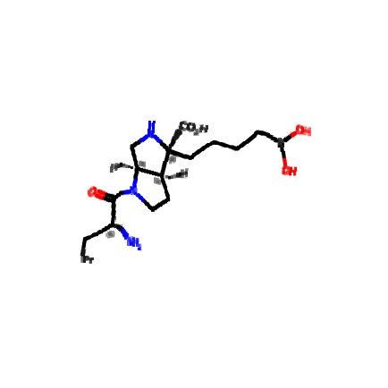 CC(C)C[C@H](N)C(=O)N1CC[C@H]2[C@@H]1CN[C@@]2(CCCCB(O)O)C(=O)O